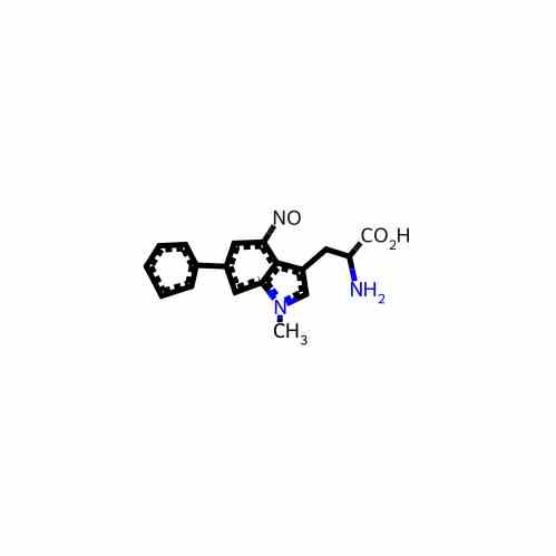 Cn1cc(CC(N)C(=O)O)c2c(N=O)cc(-c3ccccc3)cc21